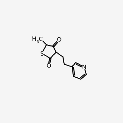 CC1SC(=O)C(CCc2cccnc2)C1=O